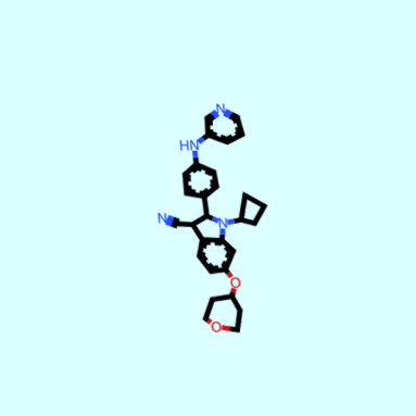 N#CC1c2ccc(OC3CCOCC3)cc2N(C2CCC2)C1c1ccc(Nc2cccnc2)cc1